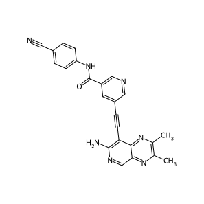 Cc1nc2cnc(N)c(C#Cc3cncc(C(=O)Nc4ccc(C#N)cc4)c3)c2nc1C